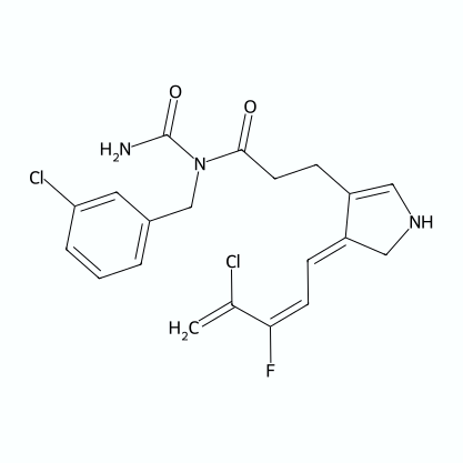 C=C(Cl)/C(F)=C\C=C1/CNC=C1CCC(=O)N(Cc1cccc(Cl)c1)C(N)=O